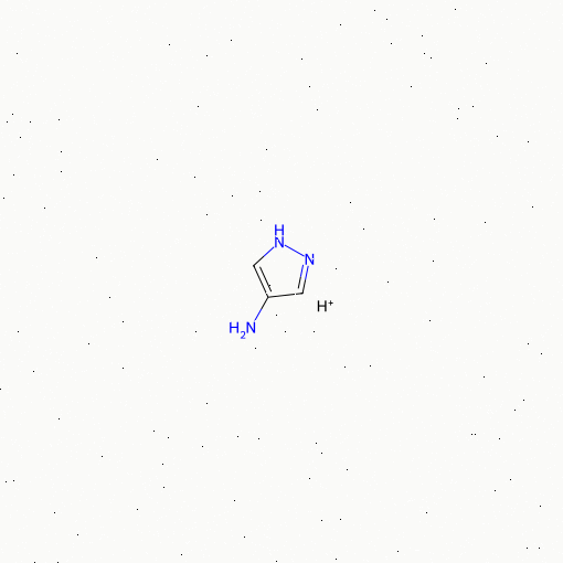 Nc1cn[nH]c1.[H+]